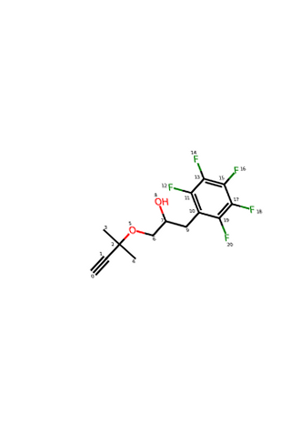 C#CC(C)(C)OCC(O)Cc1c(F)c(F)c(F)c(F)c1F